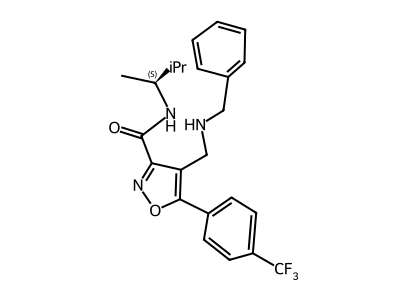 CC(C)[C@H](C)NC(=O)c1noc(-c2ccc(C(F)(F)F)cc2)c1CNCc1ccccc1